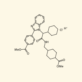 COC(=O)c1ccc(-c2nc3ccccc3n2C(C(=O)NCC2CCC(C(=O)OC)CC2)C2CCCCC2)cc1.[Cl-].[H+]